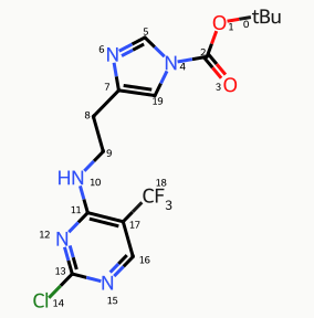 CC(C)(C)OC(=O)n1cnc(CCNc2nc(Cl)ncc2C(F)(F)F)c1